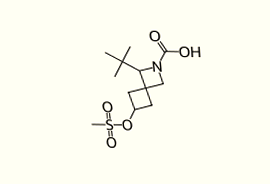 CC(C)(C)C1N(C(=O)O)CC12CC(OS(C)(=O)=O)C2